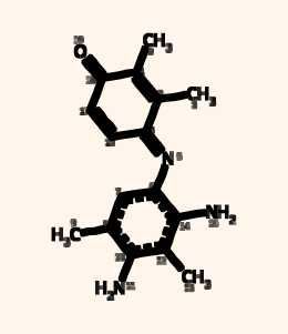 CC1=C(C)C(=Nc2cc(C)c(N)c(C)c2N)C=CC1=O